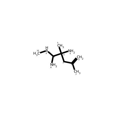 C=C(C)CC(C)(N)C(N)BC